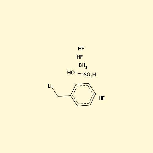 B.F.F.F.O=S(=O)(O)O.[Li][CH2]c1ccccc1